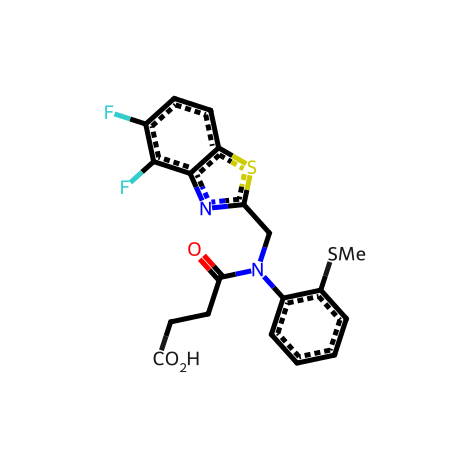 CSc1ccccc1N(Cc1nc2c(F)c(F)ccc2s1)C(=O)CCC(=O)O